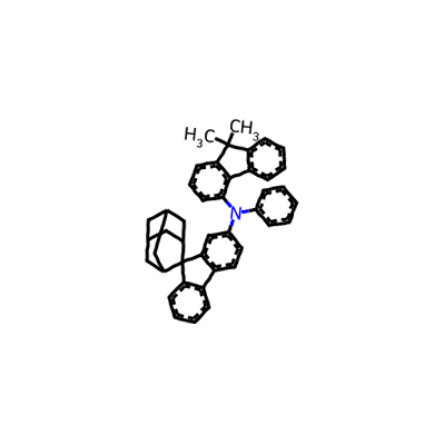 CC1(C)c2ccccc2-c2c(N(c3ccccc3)c3ccc4c(c3)C3(c5ccccc5-4)C4CC5CC(C4)CC3C5)cccc21